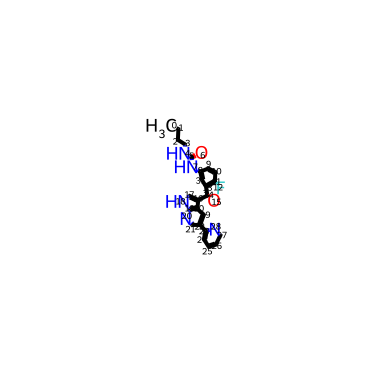 CCCCNC(=O)Nc1ccc(F)c(C(=O)c2c[nH]c3ncc(-c4ccccn4)cc23)c1